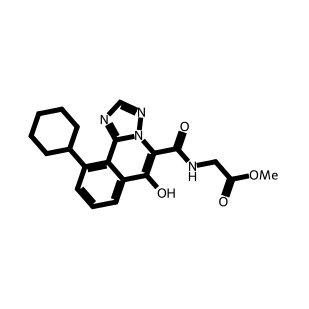 COC(=O)CNC(=O)c1c(O)c2cccc(C3CCCCC3)c2c2ncnn12